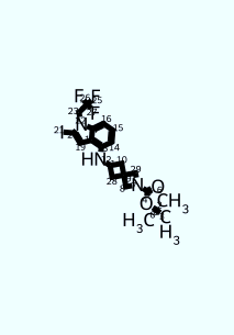 CC(C)(C)OC(=O)N1CC2(CC(Nc3cccc4c3cc(I)n4CC(F)(F)F)C2)C1